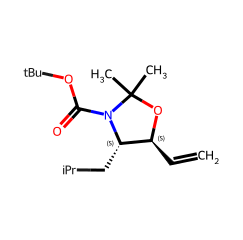 C=C[C@@H]1OC(C)(C)N(C(=O)OC(C)(C)C)[C@H]1CC(C)C